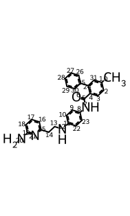 Cc1ccc(C(=O)Nc2ccc(NCCc3cccc(N)n3)cc2)c(-c2ccccc2)c1